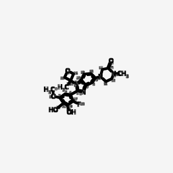 COc1cc(-c2nc3cc(N4CCN(C)C(=O)C4)ccc3n2C2(C)COC2)c(F)c(O)c1O